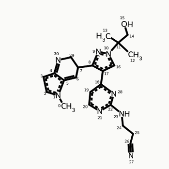 Cn1ccc2c1=CC(c1nn(C(C)(C)CO)cc1-c1ccnc(NCCC#N)n1)CN=2